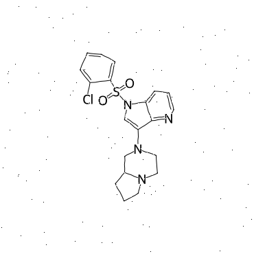 O=S(=O)(c1ccccc1Cl)n1cc(N2CCN3CCCC3C2)c2ncccc21